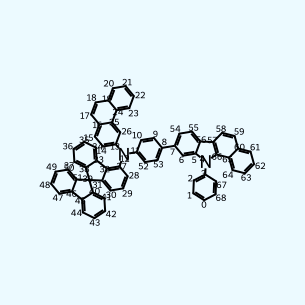 c1ccc(-n2c3cc(-c4ccc(N(c5ccc6ccc7ccccc7c6c5)c5cccc6c5-c5ccccc5C65c6ccccc6-c6ccccc65)cc4)ccc3c3ccc4ccccc4c32)cc1